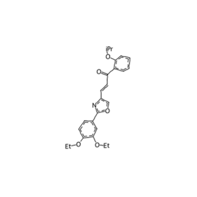 CCOc1ccc(-c2nc(/C=C/C(=O)c3ccccc3OC(C)C)co2)cc1OCC